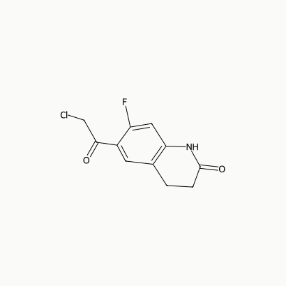 O=C1CCc2cc(C(=O)CCl)c(F)cc2N1